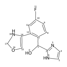 OC(c1ncc[nH]1)c1ccc(F)cc1C1=COCN1